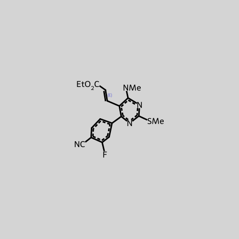 CCOC(=O)/C=C/c1c(NC)nc(SC)nc1-c1ccc(C#N)c(F)c1